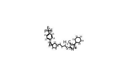 Cn1c(SCCCN2CCC3(C[C@H]3c3ccc(C(F)(F)F)cc3)C2)nnc1C1CCCCC1